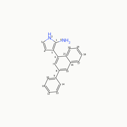 Nc1[nH]ccc1-c1cc(-c2ccccc2)cc2ccccc12